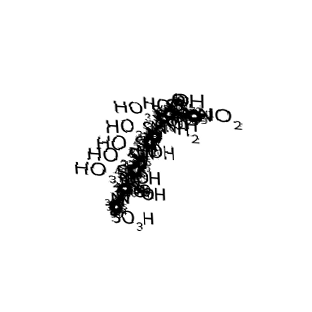 Nc1c(N=Nc2ccc3c(O)c(N=Nc4ccc5c(O)c(N=Nc6ccc(N=Nc7ccc(S(=O)(=O)O)cc7)cc6SOOO)c(S(=O)(=O)O)cc5c4S(=O)(=O)O)c(S(=O)(=O)O)cc3c2S(=O)(=O)O)cc(S(=O)(=O)O)c2cc(SOOO)c(N=Nc3ccc([N+](=O)[O-])cc3S(=O)(=O)O)c(O)c12